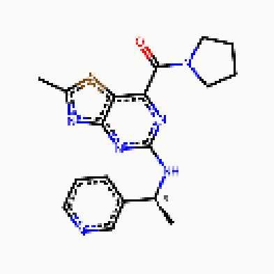 Cc1nc2nc(N[C@@H](C)c3cccnc3)nc(C(=O)N3CCCC3)c2s1